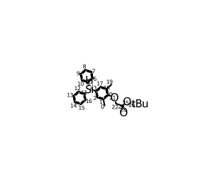 Cc1cc([SiH](c2ccccc2)c2ccccc2)cc(C)c1OCC(=O)OC(C)(C)C